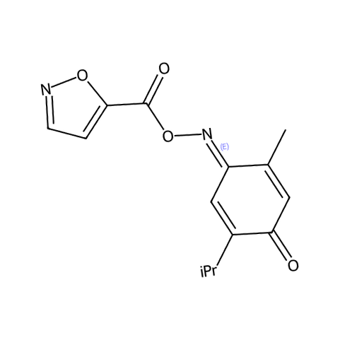 CC1=CC(=O)C(C(C)C)=C/C1=N\OC(=O)c1ccno1